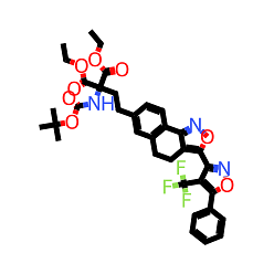 CCOC(=O)C(CCc1ccc2c(c1)CCc1c-2noc1-c1noc(-c2ccccc2)c1C(F)(F)F)(NC(=O)OC(C)(C)C)C(=O)OCC